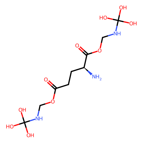 N[C@@H](CCC(=O)OCNC(O)(O)O)C(=O)OCNC(O)(O)O